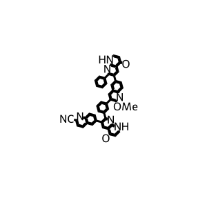 COc1nc2ccc(-c3cc4c(=O)cc[nH]c4nc3-c3ccccc3)cc2cc1-c1cccc(-c2nc3[nH]ccc(=O)c3cc2-c2ccc3nc(C#N)ccc3c2)c1